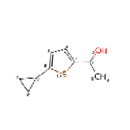 CC(O)c1ccc(C2CC2)s1